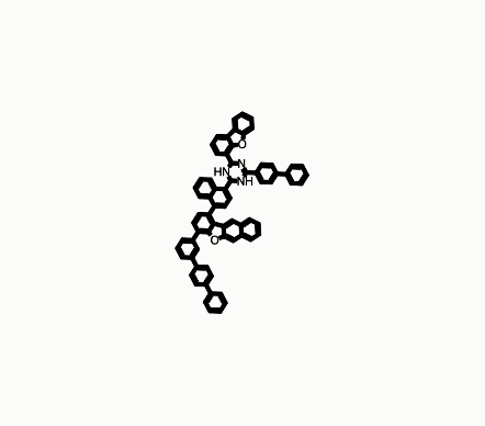 c1ccc(-c2ccc(C3=NC(c4cccc5c4oc4ccccc45)NC(c4ccc(-c5ccc(-c6cccc(-c7ccc(-c8ccccc8)cc7)c6)c6oc7cc8ccccc8cc7c56)c5ccccc45)N3)cc2)cc1